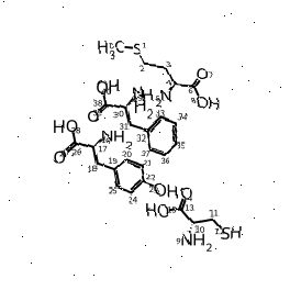 CSCC[C@H](N)C(=O)O.N[C@@H](CS)C(=O)O.N[C@@H](Cc1ccc(O)cc1)C(=O)O.N[C@@H](Cc1ccccc1)C(=O)O